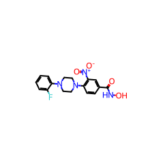 O=C(NO)c1ccc(N2CCN(c3ccccc3F)CC2)c([N+](=O)[O-])c1